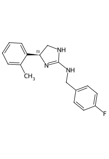 Cc1ccccc1[C@H]1CNC(NCc2ccc(F)cc2)=N1